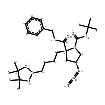 CC(C)(C)OC(=O)N1C[C@@H](N=[N+]=[N-])C[C@]1(CCCCB1OC(C)(C)C(C)(C)O1)C(=O)OCc1ccccc1